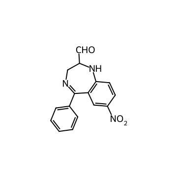 O=CC1CN=C(c2ccccc2)c2cc([N+](=O)[O-])ccc2N1